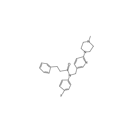 CN1CCN(c2ccc(CN(C(=O)CCc3ccccc3)c3ccc(F)cc3)cn2)CC1